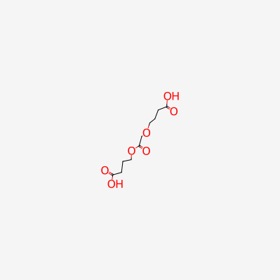 O=C(O)CCCOCC(=O)OCCCC(=O)O